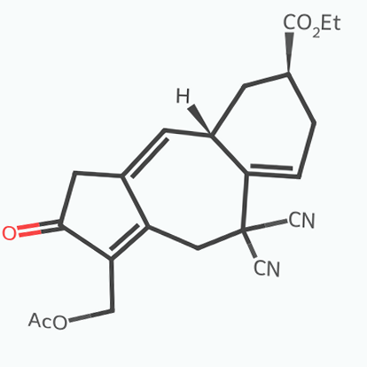 CCOC(=O)[C@H]1CC=C2[C@H](C=C3CC(=O)C(COC(C)=O)=C3CC2(C#N)C#N)C1